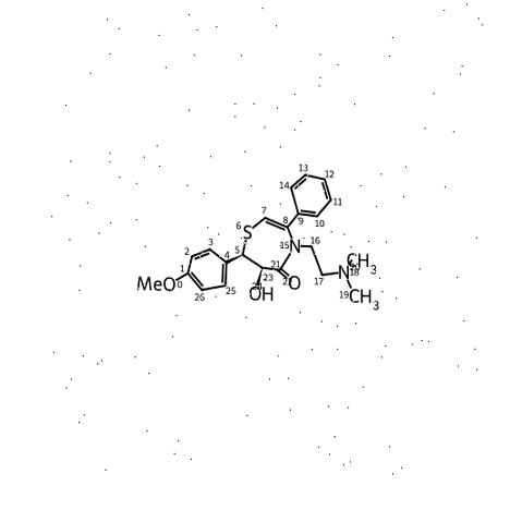 COc1ccc([C@H]2SC=C(c3ccccc3)N(CCN(C)C)C(=O)[C@H]2O)cc1